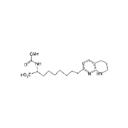 COC(=O)NC(CCCCCCCc1ccc2c(n1)NCCC2)C(=O)O